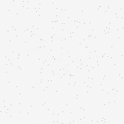 C=CC(=O)N1C[C@H](C)N(c2nc(OCCc3cnccn3)nc3c(F)c(-c4c(O)cccc4F)c(Cl)cc23)C[C@H]1C